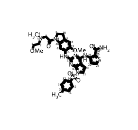 COCCN(C)CC(=O)N1CCc2cc(OC)c(Nc3nc(Nc4ccsc4C(N)=O)c4ccn(S(=O)(=O)c5ccc(C)cc5)c4n3)cc21